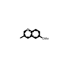 [CH2]c1cnc2ccc(OC)cc2c1